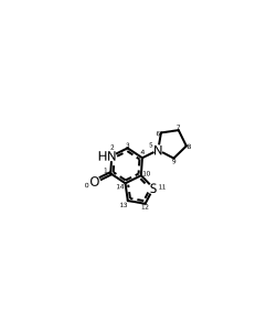 O=c1[nH]cc(N2CCCC2)c2sccc12